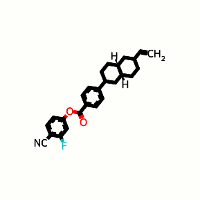 C=CC1CC[C@@H]2CC(c3ccc(C(=O)Oc4ccc(C#N)c(F)c4)cc3)CC[C@H]2C1